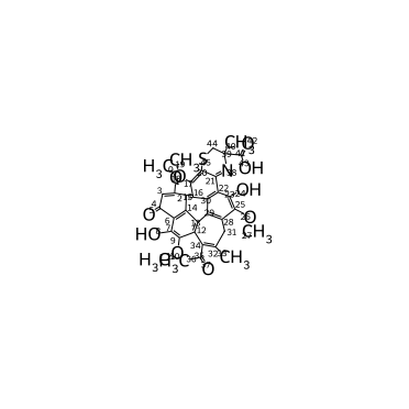 COC1=CC(=O)c2c(O)c(OC)c3c4c2c1c1c(OC)c2c(c5c(O)c(OC)c(c4c15)CC(C)=C3C(C)=O)=NC(C)(C(=O)O)CS2